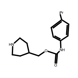 CC(C)c1ccc(NC(=O)OCC2CCNCC2)cc1